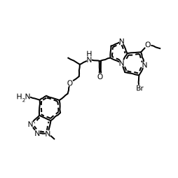 COc1nc(Br)cn2c(C(=O)NC(C)COCc3cc(N)c4nnn(C)c4c3)cnc12